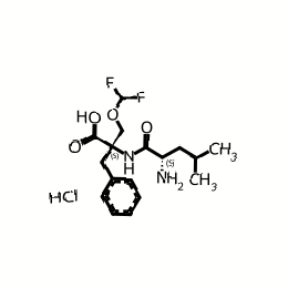 CC(C)C[C@H](N)C(=O)N[C@](COC(F)F)(Cc1ccccc1)C(=O)O.Cl